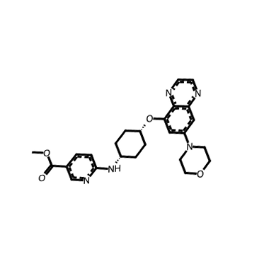 COC(=O)c1ccc(N[C@H]2CC[C@@H](Oc3cc(N4CCOCC4)cc4nccnc34)CC2)nc1